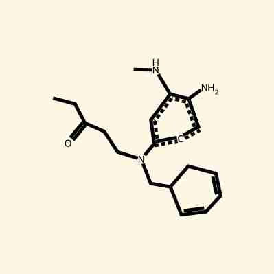 CCC(=O)CCN(CC1C=CC=CC1)c1ccc(N)c(NC)c1